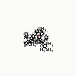 Cc1cc(C)c(-c2cc3c(c4c2oc2ccccc24)-c2ccc(C(c4ccc5c(c4)C(C)(C)C4=C6C(c7ccccc7C6(C)C)C6Oc7ccccc7C6=C45)c4cccc5c4-c4ccccc4C5(C)C)cc2C3(C)C)c(C)c1